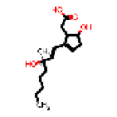 CCCCC[C@@](C)(O)C=CC1=CCC(O)C1CC(=O)O